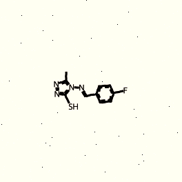 Cc1nnc(S)n1N=Cc1ccc(F)cc1